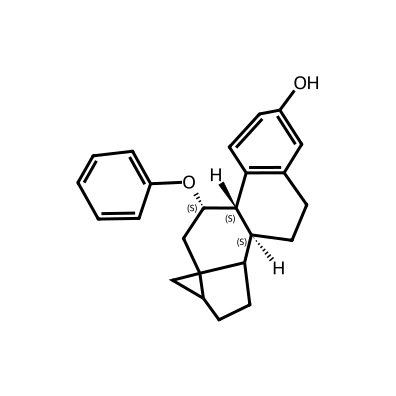 Oc1ccc2c(c1)CC[C@H]1C3CCC4CC43C[C@H](Oc3ccccc3)[C@H]21